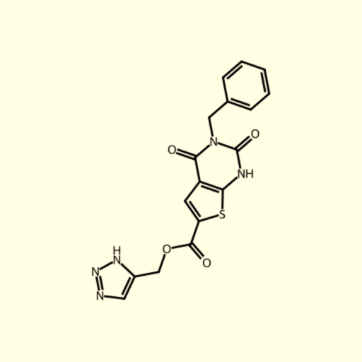 O=C(OCc1cnn[nH]1)c1cc2c(=O)n(Cc3ccccc3)c(=O)[nH]c2s1